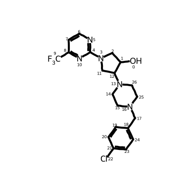 OC1CN(c2nccc(C(F)(F)F)n2)CC1N1CCN(Cc2ccc(Cl)cc2)CC1